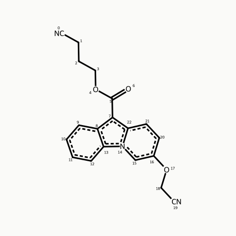 N#CCCCOC(=O)c1c2ccccc2n2cc(OCC#N)ccc12